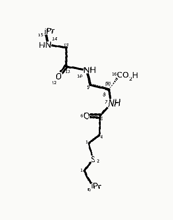 CC(C)CSCCC(=O)N[C@H](CNC(=O)CNC(C)C)C(=O)O